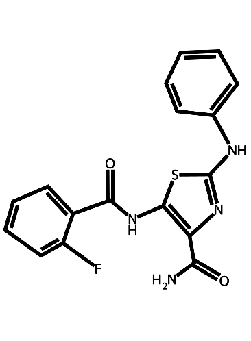 NC(=O)c1nc(Nc2ccccc2)sc1NC(=O)c1ccccc1F